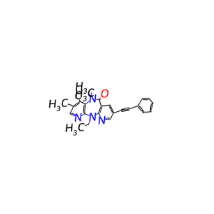 CCN1c2ncc(C#Cc3ccccc3)cc2C(=O)N(C)c2c1ncc(C)c2C